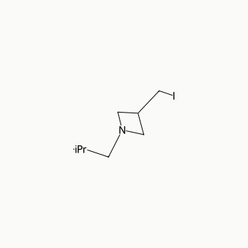 C[C](C)CN1CC(CI)C1